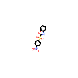 O=[N+]([O-])c1ccc(S(=O)(=O)c2nc3ccccc3o2)cc1